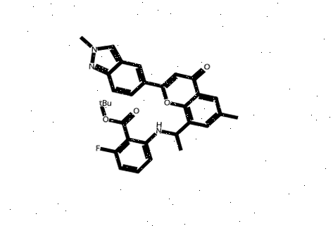 Cc1cc(C(C)Nc2cccc(F)c2C(=O)OC(C)(C)C)c2oc(-c3ccc4nn(C)cc4c3)cc(=O)c2c1